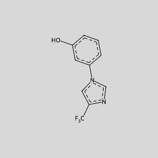 Oc1cccc(-n2cnc(C(F)(F)F)c2)c1